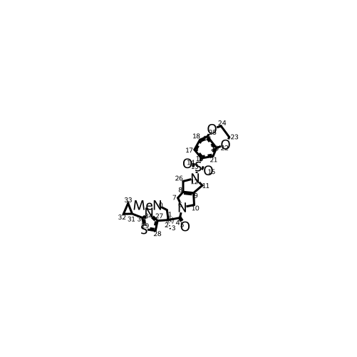 CNC[C@@](C)(C(=O)N1CC2=C(C1)CN(S(=O)(=O)c1ccc3c(c1)OCCO3)C2)c1csc(C2CC2)n1